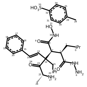 CC(C)C[C@@H](C(=O)NN)[C@H](C(=O)NO)C(/C=C/c1ccccc1)(CC(C)C)C(=O)[C@@H](C)N.Cc1ccc(S(=O)(=O)O)cc1